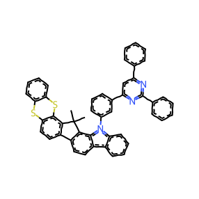 CC1(C)c2c(ccc3c2Sc2ccccc2S3)-c2ccc3c4ccccc4n(-c4cccc(-c5cc(-c6ccccc6)nc(-c6ccccc6)n5)c4)c3c21